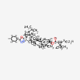 C=C(C)[C@@H]1CC[C@]2(c3nnc(-c4ccccc4)o3)CC[C@]3(C)[C@H](CC[C@@H]4[C@@]5(C)CC[C@H](OC(=O)[C@H]6[C@@H](CC(=O)O)C6(C)C)C(C)(C)[C@@H]5CC[C@]43C)[C@@H]12